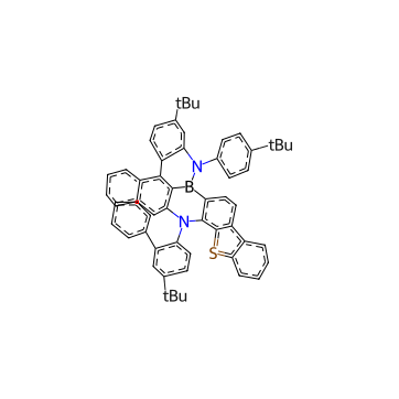 CC(C)(C)c1ccc(N2B3c4ccc5c(sc6ccccc65)c4N(c4ccc(C(C)(C)C)cc4-c4ccccc4)c4cc5ccccc5c(c43)-c3ccc(C(C)(C)C)cc32)cc1